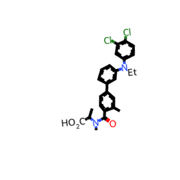 CCN(c1cccc(-c2ccc(C(=O)N(C)C(C)C(=O)O)c(C)c2)c1)c1ccc(Cl)c(Cl)c1